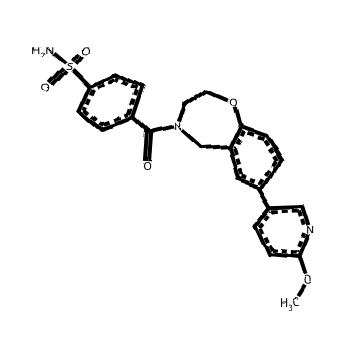 COc1ccc(-c2ccc3c(c2)CN(C(=O)c2ccc(S(N)(=O)=O)cc2)CCO3)cn1